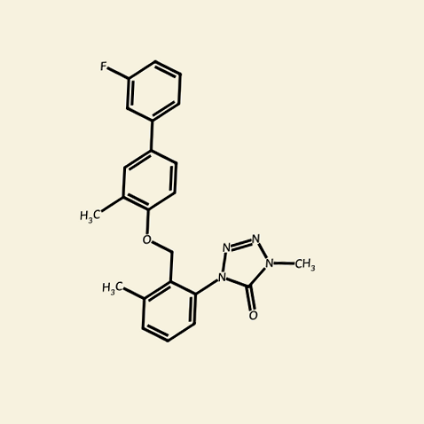 Cc1cc(-c2cccc(F)c2)ccc1OCc1c(C)cccc1-n1nnn(C)c1=O